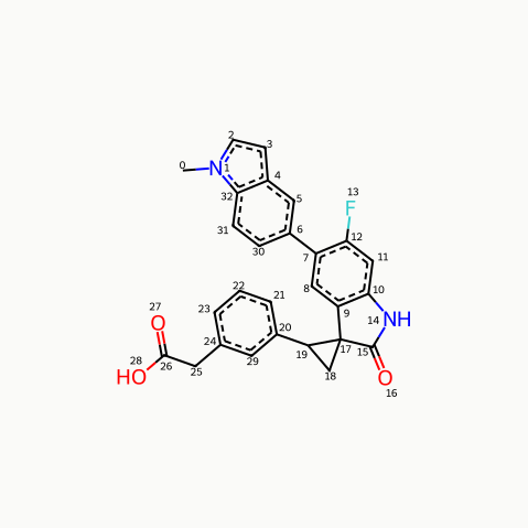 Cn1ccc2cc(-c3cc4c(cc3F)NC(=O)C43CC3c3cccc(CC(=O)O)c3)ccc21